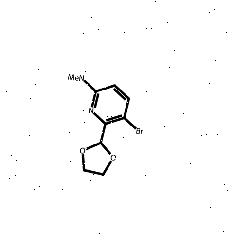 CNc1ccc(Br)c(C2OCCO2)n1